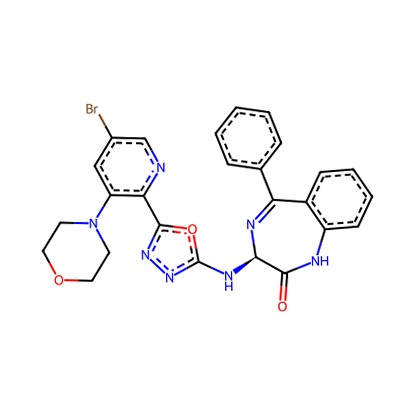 O=C1Nc2ccccc2C(c2ccccc2)=N[C@@H]1Nc1nnc(-c2ncc(Br)cc2N2CCOCC2)o1